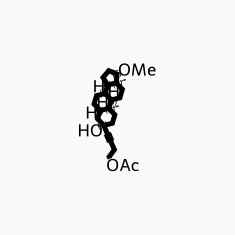 CO[C@H]1CC[C@H]2[C@@H]3CC[C@H]4C[C@@](O)(C#CCCOC(C)=O)CC[C@]4(C)[C@H]3CC[C@]12C